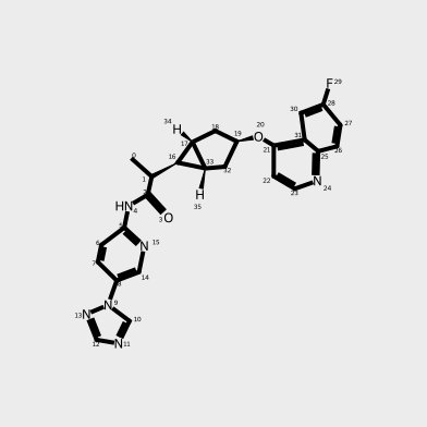 CC(C(=O)Nc1ccc(-n2cncn2)cn1)[C@H]1[C@@H]2C[C@@H](Oc3ccnc4ccc(F)cc34)C[C@@H]21